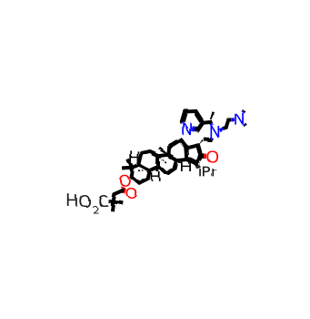 CC(C)C1=C2C(CC[C@]3(C)[C@@H]2CC[C@@H]2[C@@]4(C)CC[C@H](OC(=O)CC(C)(C)C(=O)O)C(C)(C)[C@@H]4CC[C@]23C)[C@H](CCN(CCN(C)C)[C@H](C)c2cccnc2)C1=O